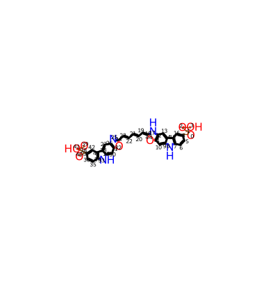 O=S(=O)(O)c1ccc2[nH]c3cc4c(cc3c2c1)N/C(=C/C=C/C=C/c1nc2cc3c(cc2o1)[nH]c1ccc(S(=O)(=O)O)cc13)O4